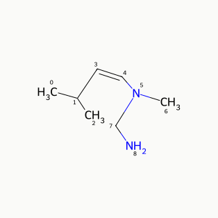 CC(C)/C=C\N(C)CN